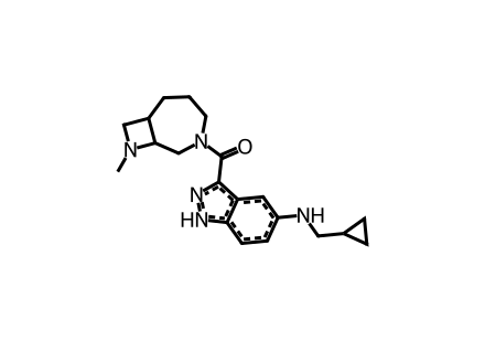 CN1CC2CCCN(C(=O)c3n[nH]c4ccc(NCC5CC5)cc34)CC21